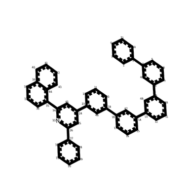 c1ccc(-c2cccc(-c3cccc(-c4cccc(-c5cccc(-c6cc(-c7ccccc7)nc(-c7cccc8ccccc78)c6)c5)c4)c3)c2)cc1